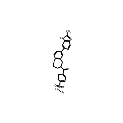 Cc1nc2ccc(-c3ccc4c(c3)CN(C(=O)c3ccc(S(=O)(=O)NC(C)C)cc3)CCO4)cc2[nH]1